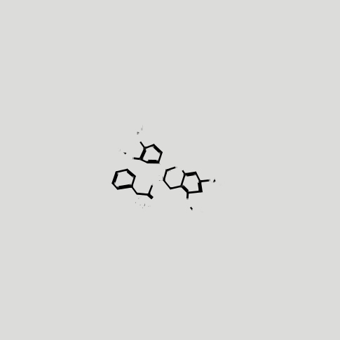 CCCCOc1cc(OCCCC)c2c(c1)O[C@@H](c1ccc(OCCCC)c(OCCCC)c1)[C@@H](OC(=O)[C@H](OC)c1ccccc1)C2